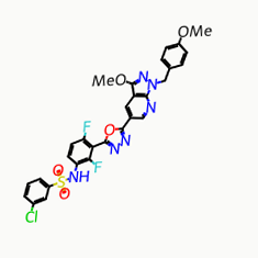 COc1ccc(Cn2nc(OC)c3cc(-c4nnc(-c5c(F)ccc(NS(=O)(=O)c6cccc(Cl)c6)c5F)o4)cnc32)cc1